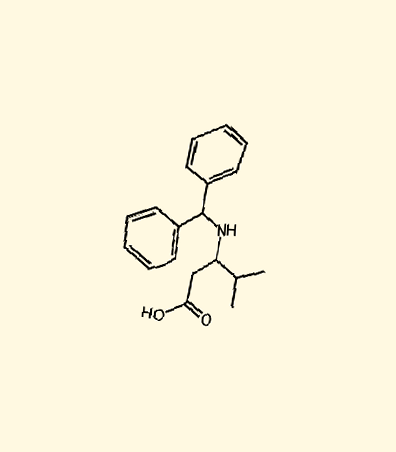 CC(C)C(CC(=O)O)NC(c1ccccc1)c1ccccc1